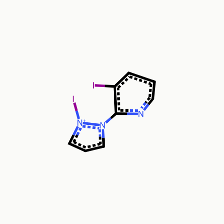 Ic1cccnc1-n1ccc[n+]1I